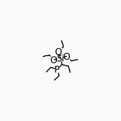 CCO[Si](OCC)(OCC)C(CC)P(CC)CC